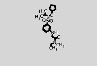 CCN(C)C(=O)CNc1cccc(S(=O)(=O)N(OC2CCCC2)C(C)C)c1